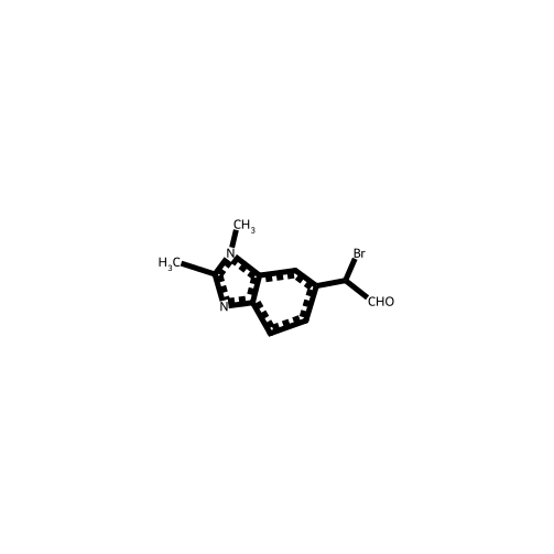 Cc1nc2ccc(C(Br)C=O)cc2n1C